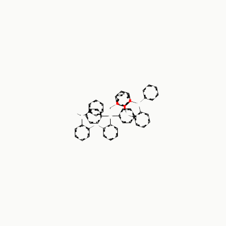 CP(c1ccccc1)c1ccccc1Oc1ccccc1[PH](Cn1nnnc1Oc1ccccc1P(c1ccccc1)c1ccccc1)(c1ccccc1)c1ccccc1